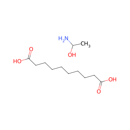 CC(N)O.O=C(O)CCCCCCCCC(=O)O